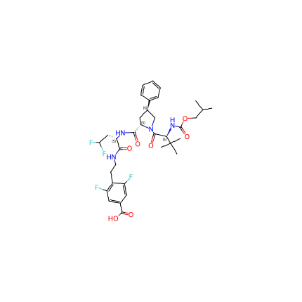 CC(C)COC(=O)N[C@H](C(=O)N1C[C@H](c2ccccc2)C[C@H]1C(=O)N[C@@H](CC(F)F)C(=O)NCCc1c(F)cc(C(=O)O)cc1F)C(C)(C)C